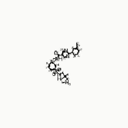 CN(C)CC(C)(C)CNS(=O)(=O)c1cccc(CNC(=O)c2cnc(-c3cccc(F)c3)nc2)c1